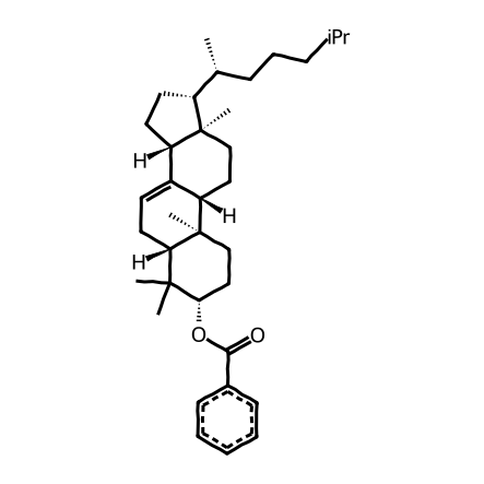 CC(C)CCC[C@@H](C)[C@H]1CC[C@H]2C3=CC[C@H]4C(C)(C)[C@@H](OC(=O)c5ccccc5)CC[C@]4(C)[C@H]3CC[C@]12C